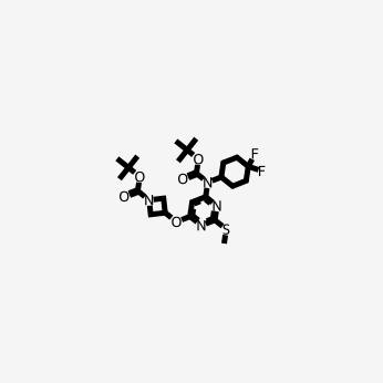 CSc1nc(OC2CN(C(=O)OC(C)(C)C)C2)cc(N(C(=O)OC(C)(C)C)C2CCC(F)(F)CC2)n1